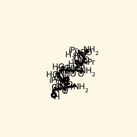 CC(C)C[C@H](NC(=O)[C@H](CCC(N)=O)NC(=O)[C@@H](N)CC(C)C)C(=O)N1CCC[C@H]1C(=O)N[C@@H](CCC(N)=O)C(=O)NCC(=O)N[C@H](C(=O)N[C@H](C(=O)N[C@@H](CC(C)C)C(=O)N1CCC[C@H]1C(=O)N[C@@H](CCCCN)C(=O)NCC(=O)N[C@@H](Cc1ccccc1)C(=O)O)[C@@H](C)O)[C@@H](C)O